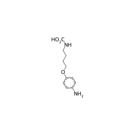 Nc1ccc(OCCCCNC(=O)O)cc1